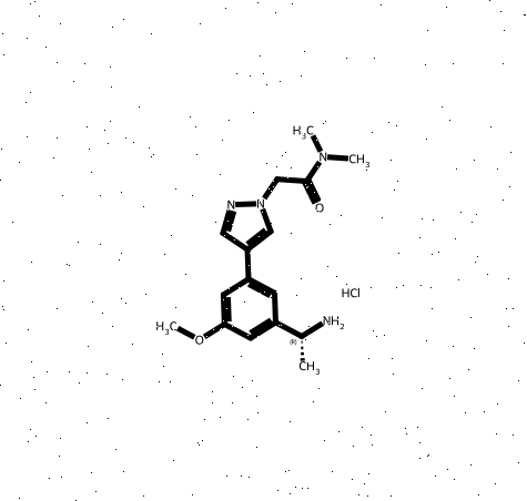 COc1cc(-c2cnn(CC(=O)N(C)C)c2)cc([C@@H](C)N)c1.Cl